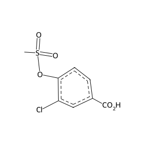 CS(=O)(=O)Oc1ccc(C(=O)O)cc1Cl